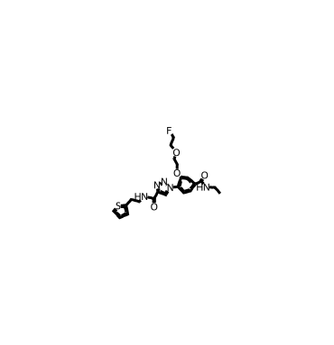 CCNC(=O)c1ccc(-n2cc(C(=O)NCCc3cccs3)nn2)c(OCCOCCF)c1